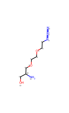 [N-]=[N+]=NCCOCCOCC(N)CO